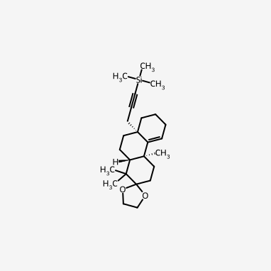 CC1(C)[C@@H]2CC[C@@]3(CC#C[Si](C)(C)C)CCCC=C3[C@@]2(C)CCC12OCCO2